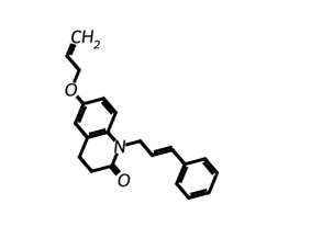 C=CCOc1ccc2c(c1)CCC(=O)N2CC=Cc1ccccc1